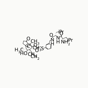 C=C[C@]1(C)C[C@@H](OC(=O)CSc2cccc(CNC(=O)[C@H](CC(C)C)NC(=O)[C@@H](N)CC(C)C)c2)[C@]2(C)C(C)CCC3(CCC(=O)C32)[C@@H](C)[C@@H]1O